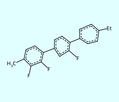 CCc1ccc(-c2ccc(-c3ccc(C)c(F)c3F)cc2F)cc1